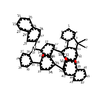 CC1(C)c2ccccc2-c2c(-c3ccc(N(c4ccc5ccccc5c4)c4ccccc4-c4ccc(-c5ccc6ccccc6c5)cc4)cc3)cccc21